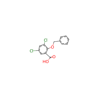 O=C(O)c1cc(Cl)cc(Cl)c1OCc1ccccc1